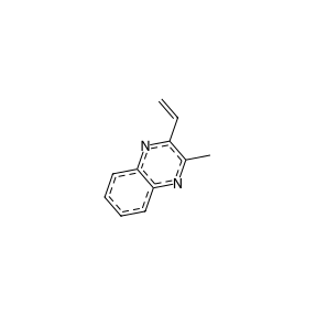 C=Cc1nc2ccccc2nc1C